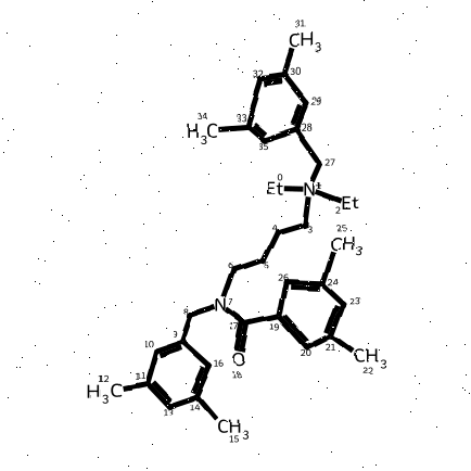 CC[N+](CC)(CCCCN(Cc1cc(C)cc(C)c1)C(=O)c1cc(C)cc(C)c1)Cc1cc(C)cc(C)c1